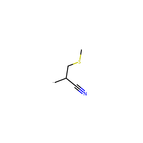 [CH2]C(C#N)CSC